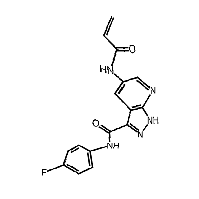 C=CC(=O)Nc1cnc2[nH]nc(C(=O)Nc3ccc(F)cc3)c2c1